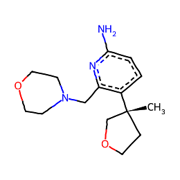 C[C@@]1(c2ccc(N)nc2CN2CCOCC2)CCOC1